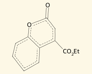 CCOC(=O)c1cc(=O)oc2ccccc12